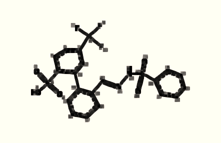 O=S(=O)(O)c1ccc(C(F)(F)F)cc1-c1ccccc1C=NNS(=O)(=O)c1ccccc1